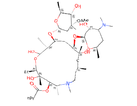 CCCC(=O)O[C@@H]1[C@@H](C)N(C)C[C@H](C)C[C@@](C)(O)[C@H](O[C@@H]2O[C@H](C)CC(N(C)C)[C@H]2O)C[C@H](O[C@H]2C[C@@](C)(OC)[C@@H](O)[C@H](C)O2)[C@@H](C)C(O)O[C@H](CC)[C@@]1(C)O